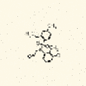 CCc1cc(C)ccc1S(=O)(=O)N(CC=O)c1cccc(Cl)c1C